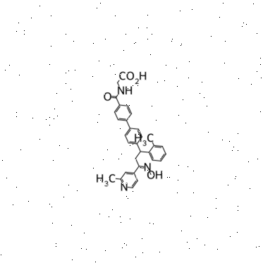 Cc1cc(/C(CC(c2ccc(-c3ccc(C(=O)NCC(=O)O)cc3)cc2)c2ccccc2C)=N\O)ccn1